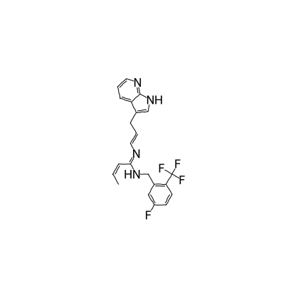 C\C=C/C(=N\C=C\Cc1c[nH]c2ncccc12)NCc1cc(F)ccc1C(F)(F)F